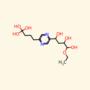 CCOC(O)C(O)CC(O)c1cnc(CCCC(O)(O)O)cn1